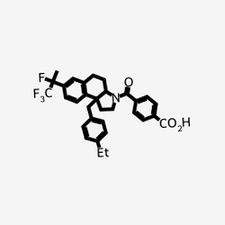 CCc1ccc(CC23CCN(C(=O)c4ccc(C(=O)O)cc4)C2CCc2cc(C(C)(F)C(F)(F)F)ccc23)cc1